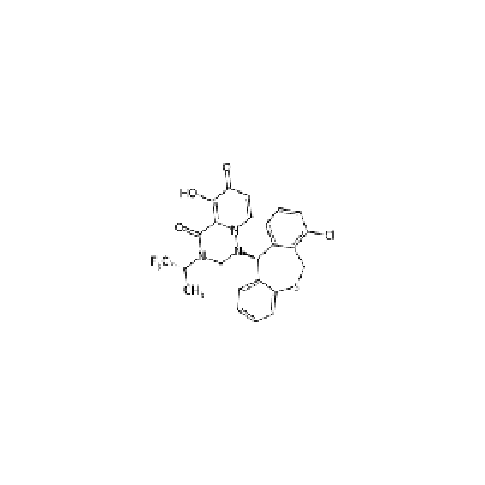 C[C@@H](N1CN([C@@H]2c3ccccc3SCc3c(Cl)cccc32)n2ccc(=O)c(O)c2C1=O)C(F)(F)F